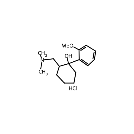 COc1ccccc1C1(O)CCCCC1CN(C)C.Cl